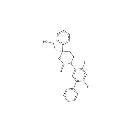 O=C1O[C@@](CCO)(c2ccccc2)CCN1c1cc(-c2ccccc2)c(F)cc1F